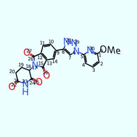 COc1cccc(-n2cc(-c3ccc4c(c3)C(=O)N(C3CCC(=O)NC3=O)C4=O)nn2)n1